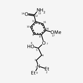 CCN(CC)CCC(O)Oc1ccc(C(N)=O)cc1OC